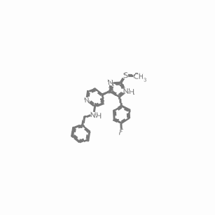 CSc1nc(-c2ccnc(NCc3ccccc3)c2)c(-c2ccc(F)cc2)[nH]1